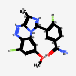 COc1cc(F)c2nnc3c(C)nc(-c4cc(C(N)=O)ccc4F)n3c2c1